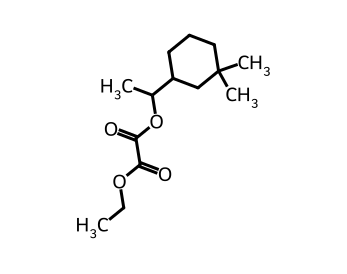 CCOC(=O)C(=O)OC(C)C1CCCC(C)(C)C1